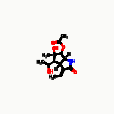 C/C=C1/C(=O)N[C@H]2[C@H]1[C@H](C(C)O)[C@@](C)(O)[C@H]2OC(C)=O